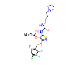 COC(=O)Oc1c(OCc2c(F)cc(Cl)c(F)c2F)nsc1NC(=O)NCCCCN1CCCC1